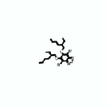 CCCCC(CC)COc1c(OCC(CC)CCCC)c(Br)c2nsnc2c1Br